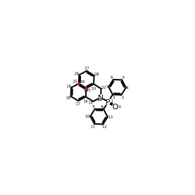 O=P(c1ccccc1)(c1ccccc1)N(Cc1ccccc1)Cc1ccccc1